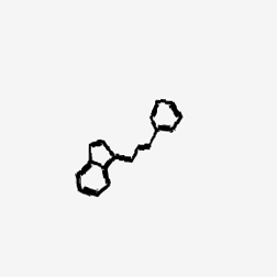 C(=Cc1ccccc1)C=C1C=Cc2ccccc21